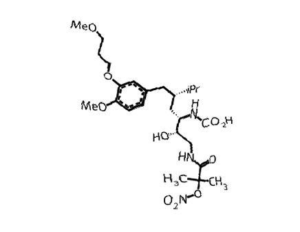 COCCCOc1cc(C[C@@H](C[C@H](NC(=O)O)[C@@H](O)CNC(=O)C(C)(C)O[N+](=O)[O-])C(C)C)ccc1OC